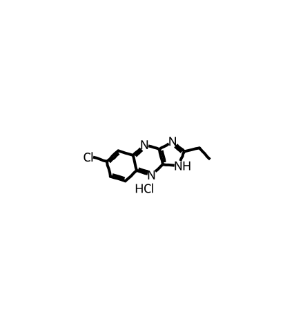 CCc1nc2nc3cc(Cl)ccc3nc2[nH]1.Cl